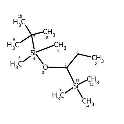 CCC(O[Si](C)(C)C(C)(C)C)[Si](C)(C)C